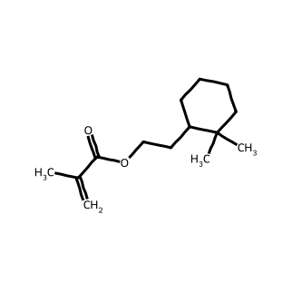 C=C(C)C(=O)OCCC1CCCCC1(C)C